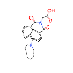 O=C(O)CN1C(=O)c2cccc3c(N4CCCCCC4)ccc(c23)C1=O